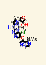 CNc1nccn2ncc(Oc3cnc4nc(Nc5cc(C(F)(F)F)n([C@H]6COC[C@@H]6O)n5)n(C)c4c3Cl)c12